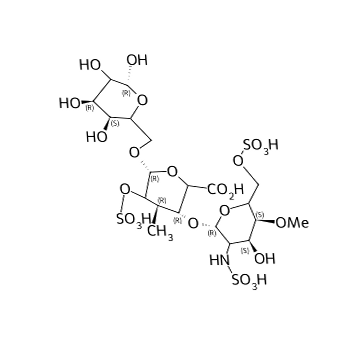 CO[C@@H]1C(COS(=O)(=O)O)O[C@@H](O[C@H]2C(C(=O)O)O[C@@H](OCC3O[C@@H](O)C(O)[C@H](O)[C@@H]3O)C(OS(=O)(=O)O)[C@@H]2C)C(NS(=O)(=O)O)[C@@H]1O